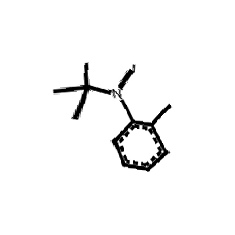 Cc1ccccc1N(I)C(C)(C)C